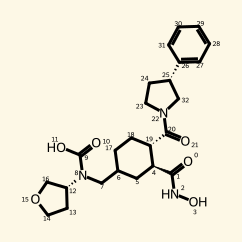 O=C(NO)[C@H]1CC(CN(C(=O)O)[C@@H]2CCOC2)CC[C@@H]1C(=O)N1CC[C@H](c2ccccc2)C1